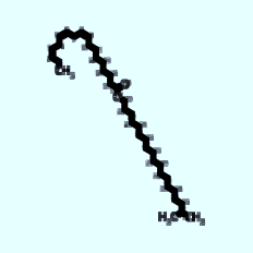 CC/C=C\C/C=C\C/C=C\CCCCCCCC(=O)OCCCCCCCCCCCCCCCCCC(C)C